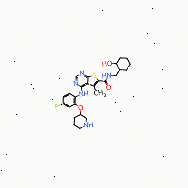 Cc1c(C(=O)NCC2CCCCC2O)sc2ncnc(Nc3ccc(F)cc3OC3CCCNC3)c12